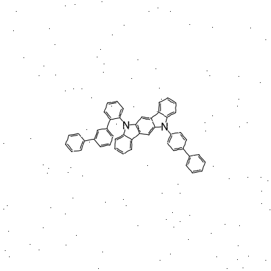 c1ccc(-c2ccc(-n3c4ccccc4c4cc5c(cc43)c3ccccc3n5-c3ccccc3-c3cccc(-c4ccccc4)c3)cc2)cc1